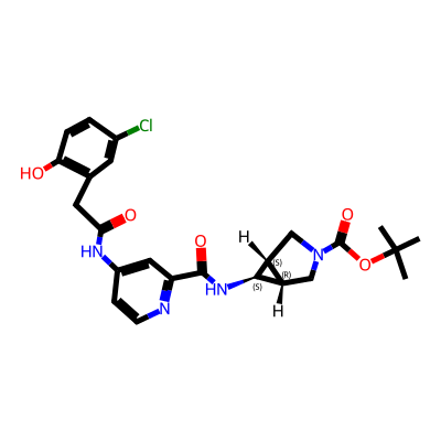 CC(C)(C)OC(=O)N1C[C@@H]2[C@H](C1)[C@H]2NC(=O)c1cc(NC(=O)Cc2cc(Cl)ccc2O)ccn1